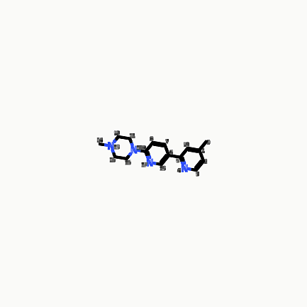 Cc1ccnc(-c2ccc(N3CCN(C)CC3)nc2)c1